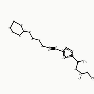 C[C@@H](CO)CC(N)c1ccc(C#CCCCCC2CCCCC2)s1